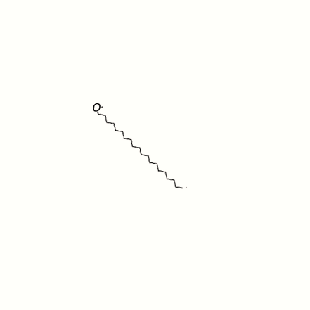 [CH2]CCCCCCCCCCCCCCCCCCC[O]